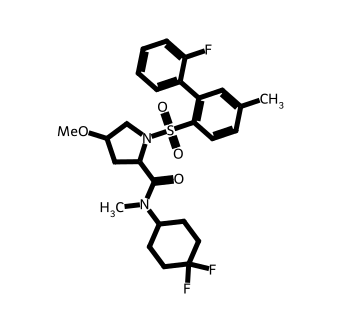 COC1CC(C(=O)N(C)C2CCC(F)(F)CC2)N(S(=O)(=O)c2ccc(C)cc2-c2ccccc2F)C1